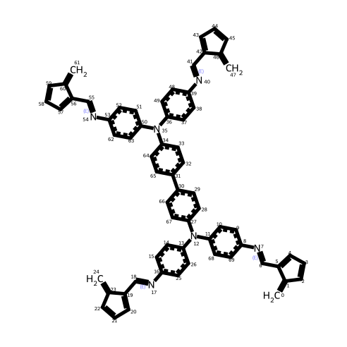 C=C1C=CC=C1/C=N/c1ccc(N(c2ccc(/N=C/C3=CC=CC3=C)cc2)c2ccc(-c3ccc(N(c4ccc(/N=C/C5=CC=CC5=C)cc4)c4ccc(/N=C/C5=CC=CC5=C)cc4)cc3)cc2)cc1